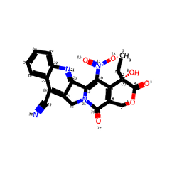 CC[C@@]1(O)C(=O)OCc2c1c([N+](=O)[O-])c1n(c2=O)Cc2c-1nc1ccccc1c2C#N